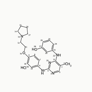 Cc1cnc(Nc2ccc(OCCN3CCCC3)cc2)nc1Nc1cccc(O)c1.Cl